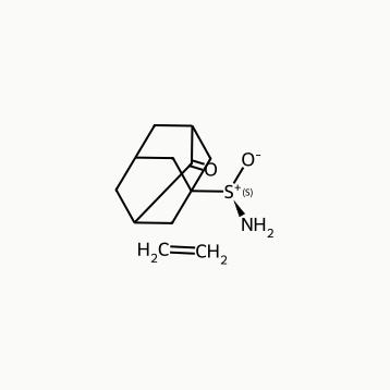 C=C.N[S@+]([O-])C12CC3CC(C1)C(=O)C(C3)C2